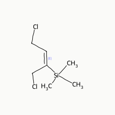 C[Si](C)(C)/C(=C/CCl)CCl